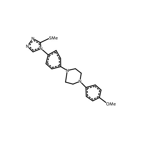 COc1ccc(N2CCN(c3ccc(-n4cnnc4SC)cc3)CC2)cc1